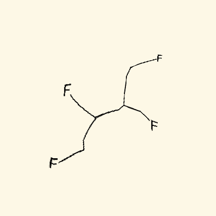 FCC(F)C(F)CF